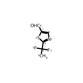 CC(F)(F)c1ncc(C=O)s1